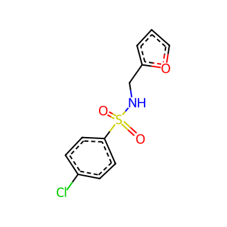 O=S(=O)(NCc1ccco1)c1ccc(Cl)cc1